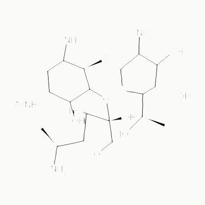 CC(=O)N[C@@H]1CC(N)[C@@H](O[C@H]2OC([C@@H](C)O)[C@@H](O)C(O)C2N)C(O[C@]2(O)CO[C@H]([C@H](C)N)C2O)C1O